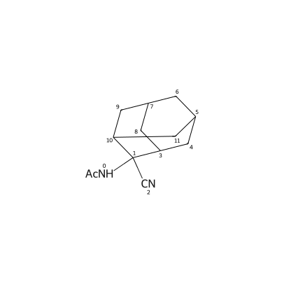 CC(=O)NC1(C#N)C2CC3CC(C2)CC1C3